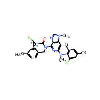 CCc1cc(C#N)cc(F)c1N(C)c1cc2c(ncn2C)c(N(Cc2ccc(OC)cc2)C(=O)[C@H]2C[C@H]2F)n1